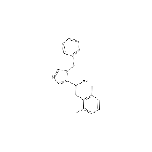 Cc1cccc(C)c1CC(O)c1cncn1Cc1ccccc1